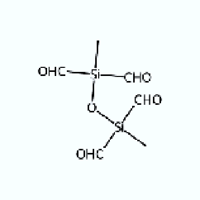 C[Si](C=O)(C=O)O[Si](C)(C=O)C=O